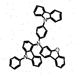 c1ccc(-n2c3ccccc3c3c(N(c4ccc(-n5c6ccccc6c6ccccc65)cc4)c4ccc5c(c4)oc4ccccc45)cccc32)cc1